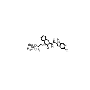 CC(C)(C)[Si](C)(C)OCCCN1C(=O)C(NC(=O)c2cc3cc(Cl)ncc3[nH]2)Cc2ccccc21